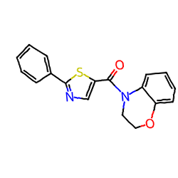 O=C(c1cnc(-c2ccccc2)s1)N1CCOc2ccccc21